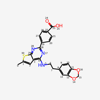 Cc1cc2c(NCCc3ccc4c(c3)OCO4)nc(-c3ccc(C(=O)O)cc3)nc2s1